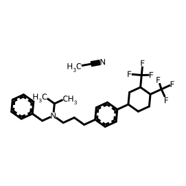 CC#N.CC(C)N(CCCc1ccc(C2CCC(C(F)(F)F)C(C(F)(F)F)C2)cc1)Cc1ccccc1